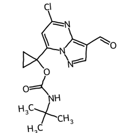 CC(C)(C)NC(=O)OC1(c2cc(Cl)nc3c(C=O)cnn23)CC1